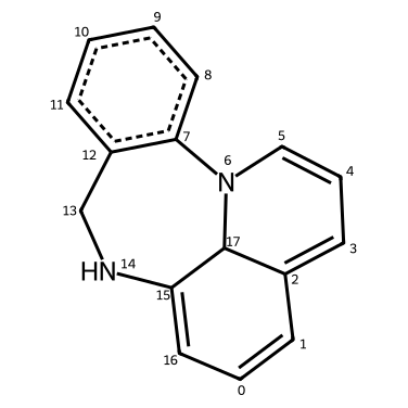 C1=CC2=CC=CN3c4ccccc4CNC(=C1)C23